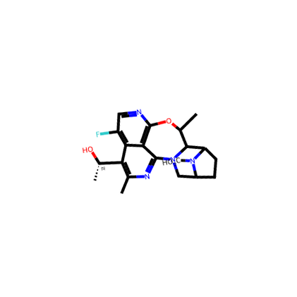 Cc1nc2c3c(ncc(F)c3c1[C@H](C)O)OC(C)C1C3CCC(CN21)N3C(=O)O